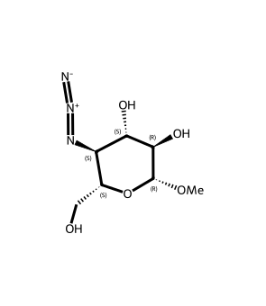 CO[C@@H]1O[C@H](CO)[C@@H](N=[N+]=[N-])[C@H](O)[C@H]1O